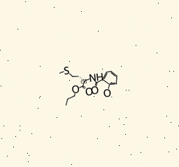 CCCOC(=O)[C@H](CCSC)NC(=O)c1ccccc1OC